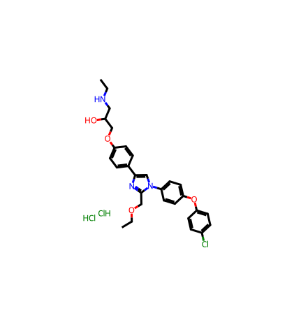 CCNCC(O)COc1ccc(-c2cn(-c3ccc(Oc4ccc(Cl)cc4)cc3)c(COCC)n2)cc1.Cl.Cl